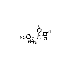 N#Cc1cccc(S(=O)(=O)NC2(C[C@@H]3CC[C@@H](c4ccc(Cl)cc4Cl)N(c4ccc(Cl)cc4)C3)CC2)c1